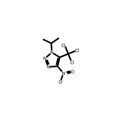 CC(C)n1nnc([N+](=O)[O-])c1C(Cl)(Cl)Cl